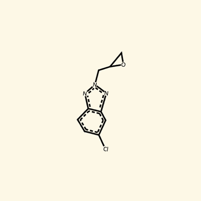 Clc1ccc2nn(CC3CO3)nc2c1